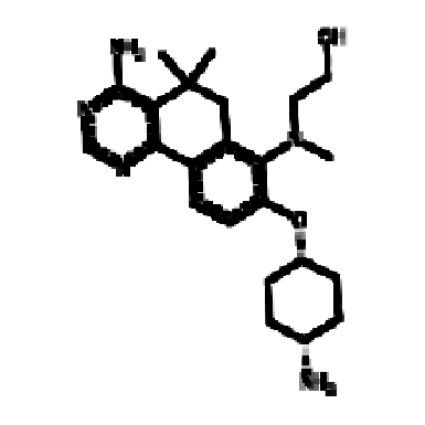 CN(CCO)c1c(O[C@H]2CC[C@@H](N)CC2)ccc2c1CC(C)(C)c1c(N)ncnc1-2